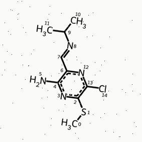 CSc1nc(N)c(C=NC(C)C)nc1Cl